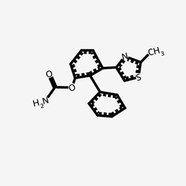 Cc1nc(-c2cccc(OC(N)=O)c2-c2ccccc2)cs1